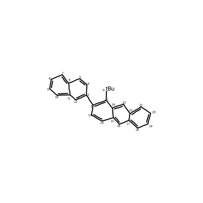 CC(C)(C)c1c(-c2ccc3ccccc3c2)ccc2cc3ccccc3cc12